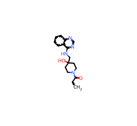 C=CC(=O)N1CCC(O)(CNc2ncnc3ccccc23)CC1